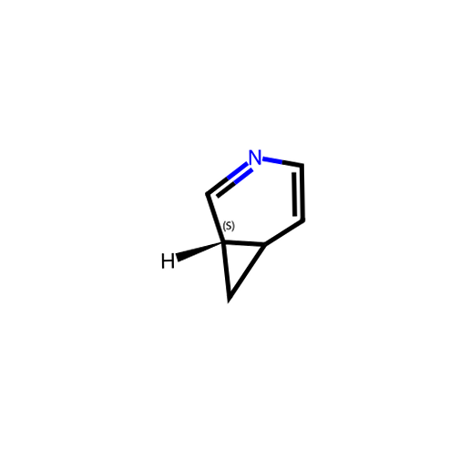 C1=CC2C[C@@H]2C=N1